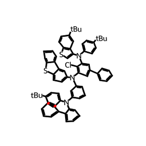 CC(C)(C)c1ccc(N(c2cccc(N(c3ccc4sc5ccccc5c4c3)c3cc(-c4ccccc4)cc(N(c4ccc(C(C)(C)C)cc4)c4csc5ccc(C(C)(C)C)cc45)c3Cl)c2)c2ccccc2-c2ccccc2)cc1